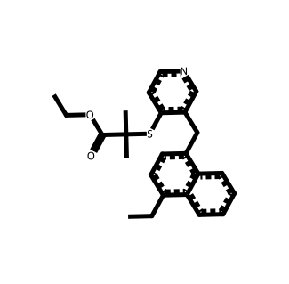 CCOC(=O)C(C)(C)Sc1ccncc1Cc1ccc(CC)c2ccccc12